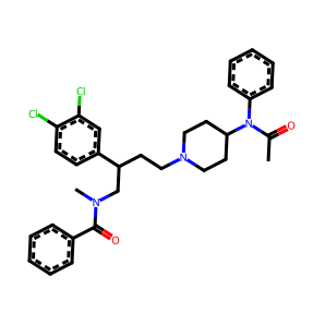 CC(=O)N(c1ccccc1)C1CCN(CCC(CN(C)C(=O)c2ccccc2)c2ccc(Cl)c(Cl)c2)CC1